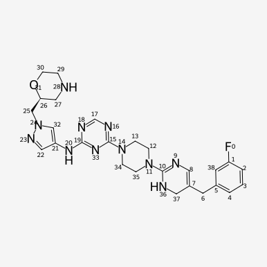 Fc1cccc(CC2=CN=C(N3CCN(c4ncnc(Nc5cnn(C[C@@H]6CNCCO6)c5)n4)CC3)NC2)c1